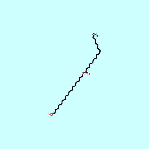 CCCCCC/C=C\CCCCCCCC(=O)OCCCCCCCCCCCCCCCCCO